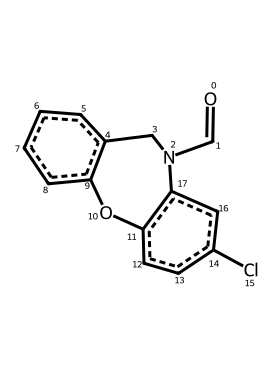 O=CN1Cc2ccccc2Oc2ccc(Cl)cc21